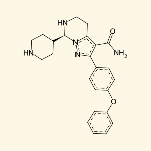 NC(=O)c1c(-c2ccc(Oc3ccccc3)cc2)nn2c1CCN[C@@H]2C1CCNCC1